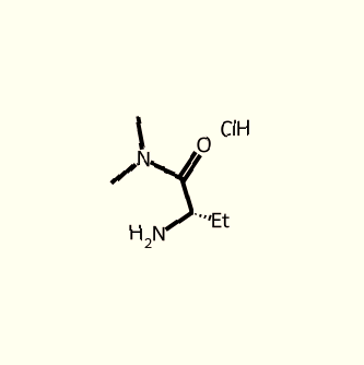 CC[C@H](N)C(=O)N(C)C.Cl